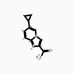 O=C(c1cn2cc(C3CC3)ccc2n1)C(F)(F)F